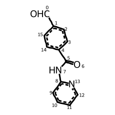 O=Cc1ccc(C(=O)Nc2ccccn2)cc1